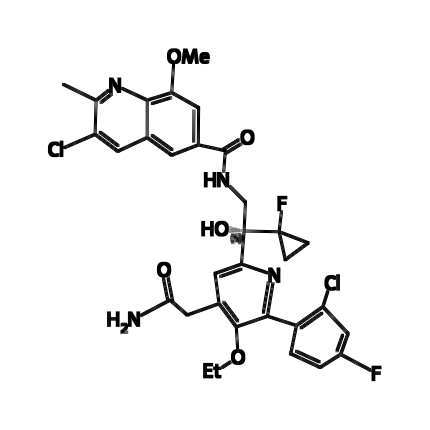 CCOc1c(CC(N)=O)cc([C@@](O)(CNC(=O)c2cc(OC)c3nc(C)c(Cl)cc3c2)C2(F)CC2)nc1-c1ccc(F)cc1Cl